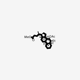 CC[C@H]1[C@@H](OC(C)=O)[C@@H]2[C@H](CC[C@]3(C)[C@@H]([C@H](C)CCC(=O)OC)CC[C@@H]23)[C@@]2(C)CCCC[C@@H]12